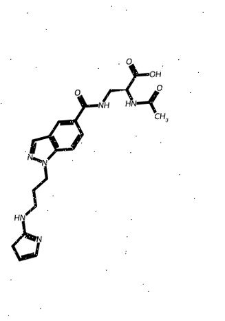 CC(=O)N[C@@H](CNC(=O)c1ccc2c(cnn2CCCNC2=NC=CC2)c1)C(=O)O